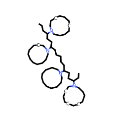 CCCC(CCC(CCCCCC(CCC(CC)N1CCCCCCCCCCC1)N1CCCCCCCCCCC1)N1CCCCCCCCCCC1)N1CCCCCCCCCCC1